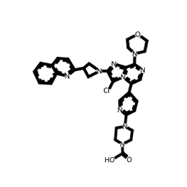 O=C(O)N1CCN(c2ccc(-c3cnc(N4CCOCC4)c4nc(N5CC(c6ccc7ccccc7n6)C5)c(Cl)n34)cn2)CC1